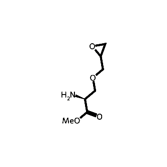 COC(=O)[C@@H](N)COCC1CO1